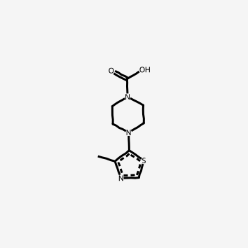 Cc1ncsc1N1CCN(C(=O)O)CC1